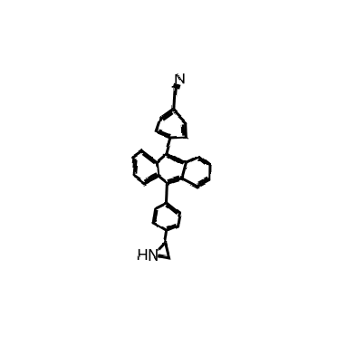 N#Cc1ccc(-c2c3ccccc3c(-c3ccc(C4CN4)cc3)c3ccccc23)cc1